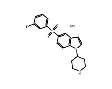 Cl.O=S(=O)(c1cccc(F)c1)c1ccc2c(ccn2C2CCNCC2)c1